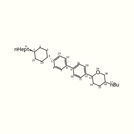 CCCCCCC[C@H]1CC[C@H](c2ccc(-c3ccc(C4CCC(CCCC)CO4)cc3)cc2)CC1